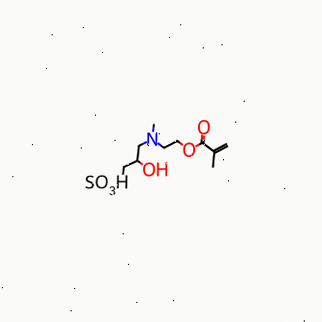 C=C(C)C(=O)OCCN(C)CC(O)CS(=O)(=O)O